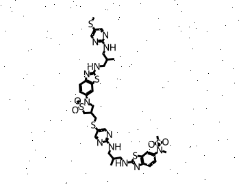 CSc1cnc(NCC(C)CNc2nc3ccc(N4CC(CSc5cnc(NCC(C)CNc6nc7ccc(N(C)S(C)(=O)=O)cc7s6)nc5)CS4(=O)=O)cc3s2)nc1